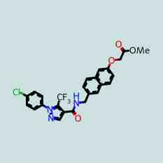 COC(=O)COc1ccc2cc(CNC(=O)c3cnn(-c4ccc(Cl)cc4)c3C(F)(F)F)ccc2c1